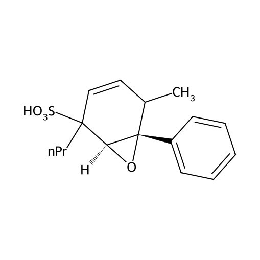 CCCC1(S(=O)(=O)O)C=CC(C)[C@]2(c3ccccc3)O[C@@H]12